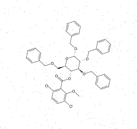 COc1c(Cl)ccc(Cl)c1C(=O)O[C@H]1[C@H](OCc2ccccc2)[C@@H](OCc2ccccc2)[C@@H](OCc2ccccc2)O[C@@H]1COCc1ccccc1